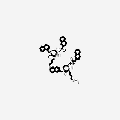 NCCCC[C@@H]1N[C@@H](CNC(=O)Cc2ccc3ccccc3c2)CCN(Cc2ccc3ccccc3c2)C1=O.NCCCC[C@@H]1N[C@@H](CNC(=O)c2ccc3ccccc3c2)CCN(Cc2cccc3ccccc23)C1=O